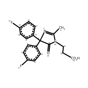 CC1=NC(c2ccc(F)cc2)(c2ccc(F)cc2)C(=O)N1CCC(=O)O